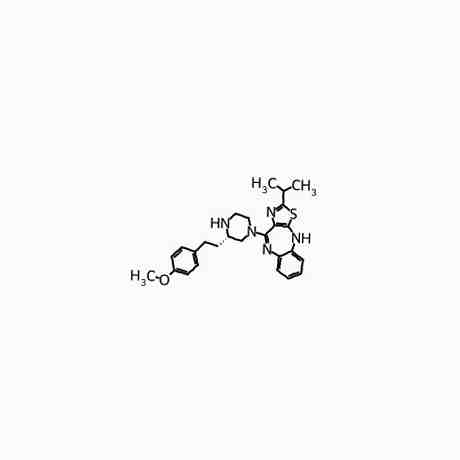 COc1ccc(CC[C@H]2CN(C3=Nc4ccccc4Nc4sc(C(C)C)nc43)CCN2)cc1